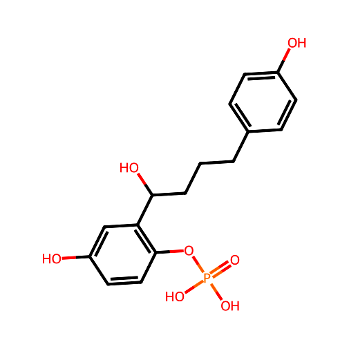 O=P(O)(O)Oc1ccc(O)cc1C(O)CCCc1ccc(O)cc1